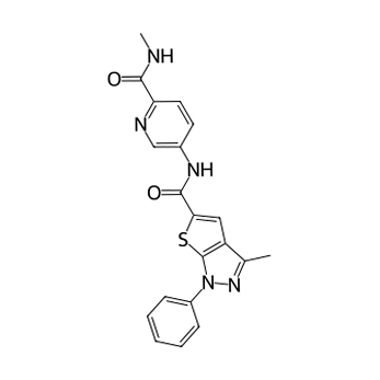 CNC(=O)c1ccc(NC(=O)c2cc3c(C)nn(-c4ccccc4)c3s2)cn1